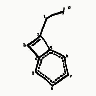 ICC1=Cc2ccccc21